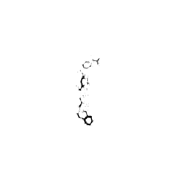 CC(C)C(=O)N1CCC(Nc2cc(C(=O)NC[C@H](O)CN3CCc4ccccc4C3)ncn2)CC1